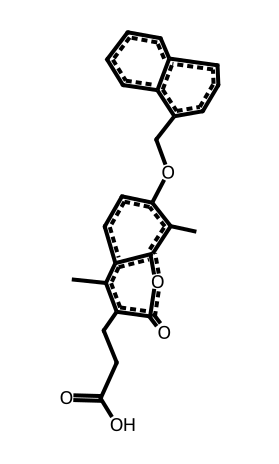 Cc1c(CCC(=O)O)c(=O)oc2c(C)c(OCc3cccc4ccccc34)ccc12